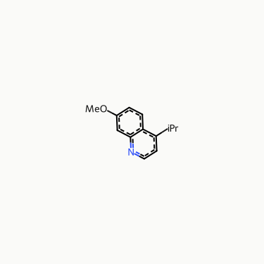 COc1ccc2c(C(C)C)ccnc2c1